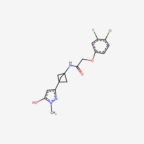 Cn1nc(C23CC(NC(=O)COc4ccc(Cl)c(F)c4)(C2)C3)cc1O